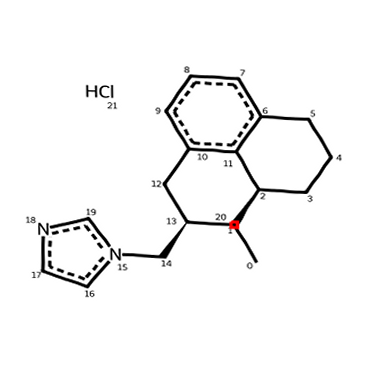 CC[C@@]12CCCc3cccc(c31)C[C@H](Cn1ccnc1)C2.Cl